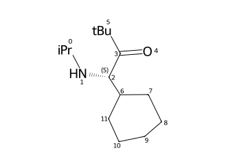 CC(C)N[C@H](C(=O)C(C)(C)C)C1CCCCC1